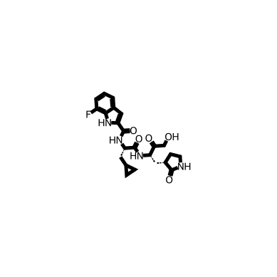 O=C(N[C@@H](CC1CC1)C(=O)N[C@@H](C[C@@H]1CCNC1=O)C(=O)CO)c1cc2cccc(F)c2[nH]1